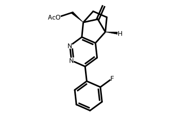 C=C1[C@@H]2CC[C@@]1(COC(C)=O)c1nnc(-c3ccccc3F)cc12